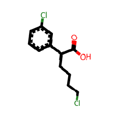 O=C(O)C(CCCCCl)c1cccc(Cl)c1